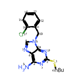 CCCCSc1nc(N)c2ncn(Cc3ccccc3Cl)c2n1